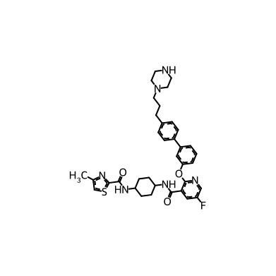 Cc1csc(C(=O)NC2CCC(NC(=O)c3cc(F)cnc3Oc3cccc(-c4ccc(CCCN5CCNCC5)cc4)c3)CC2)n1